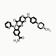 CN1CCN(c2ccc(Nc3ncc4c(=O)n5c(nc4n3)c3cc(C(N)=O)ccc3n5-c3ccccn3)cc2)CC1